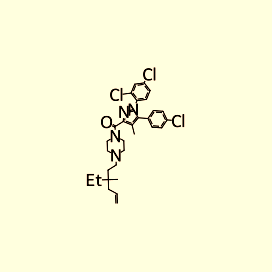 C=CCC(C)(CC)CCN1CCN(C(=O)c2nn(-c3ccc(Cl)cc3Cl)c(-c3ccc(Cl)cc3)c2C)CC1